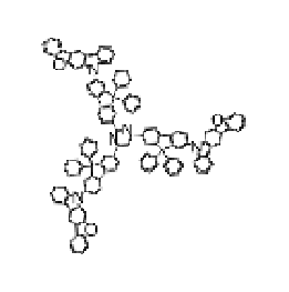 c1ccc(C2(c3ccccc3)c3cc(-c4cc(-c5ccc6c(c5)C(c5ccccc5)(c5ccccc5)c5cc(-n7c8ccccc8c8cc9c(cc87)oc7ccccc79)ccc5-6)nc(-c5ccc6c(c5)C(c5ccccc5)(c5ccccc5)c5cc(-n7c8ccccc8c8cc9c(cc87)oc7ccccc79)ccc5-6)n4)ccc3-c3ccc(-n4c5ccccc5c5cc6c(cc54)oc4ccccc46)cc32)cc1